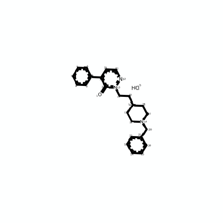 Cl.O=c1c(-c2ccccc2)ccnn1CCC1CCN(Cc2ccccc2)CC1